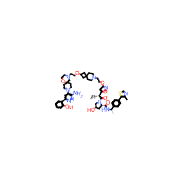 Cc1ncsc1-c1ccc([C@H](C)NC(=O)[C@@H]2C[C@@H](O)CN2C(=O)[C@@H](c2cc(OCCN3CCC4(CC3)CC(OCCN3CCOC5(CCN(c6cc(-c7ccccc7O)nnc6N)CC5)C3)C4)no2)C(C)C)cc1